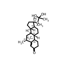 CC(=O)[C@@]1(OC(C)(O)O)CC[C@H]2[C@@H]3C[C@H](C)C4=CC(=O)CC[C@]4(C)[C@H]3CC[C@@]21C